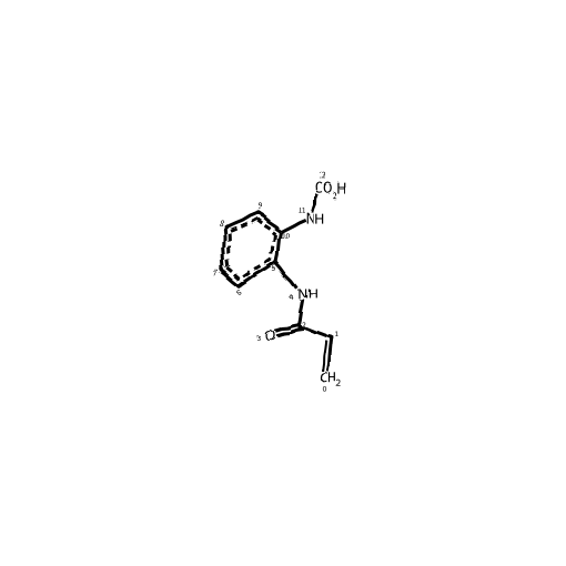 C=CC(=O)Nc1ccccc1NC(=O)O